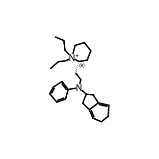 CCC[N+]1(CCC)CCCC[C@@H]1CCN(c1ccccc1)C1CC2=CCCC=C2C1